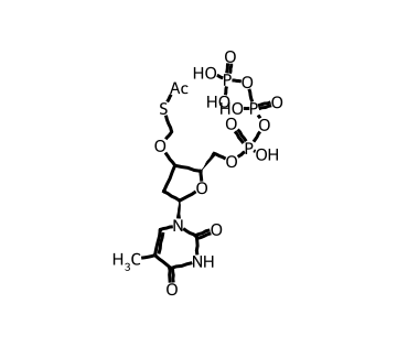 CC(=O)SCOC1C[C@H](n2cc(C)c(=O)[nH]c2=O)O[C@@H]1COP(=O)(O)OP(=O)(O)OP(=O)(O)O